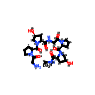 NCC(=O)N1CCC[C@H]1C(=O)N1C[C@H](O)C[C@H]1C(=O)NCC(=O)N1CCC[C@H]1C(=O)N1C[C@H](O)C[C@H]1C(=O)NCC(=O)O